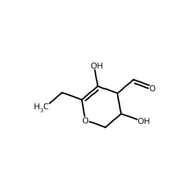 CCC1=C(O)C(C=O)C(O)CO1